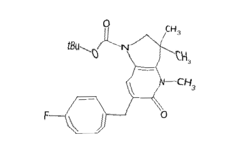 Cn1c2c(cc(Cc3ccc(F)cc3)c1=O)N(C(=O)OC(C)(C)C)CC2(C)C